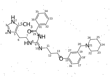 Cc1[nH]cnc1CCNC(=NCCCOc1cccc(CN2CCCCC2)c1)NC(=O)c1ccccc1